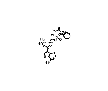 COC(=O)C(C)NP(=O)(OC[C@H]1O[C@@H](c2coc3c(N)ncnc23)[C@](C)(O)[C@@H]1O)Oc1ccccc1